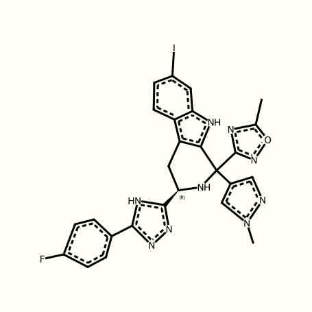 Cc1nc(C2(c3cnn(C)c3)N[C@@H](c3nnc(-c4ccc(F)cc4)[nH]3)Cc3c2[nH]c2cc(I)ccc32)no1